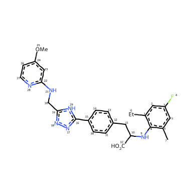 CCc1cc(F)cc(C)c1NC(Cc1ccc(-c2nnc(CNc3cc(OC)ccn3)[nH]2)cc1)C(=O)O